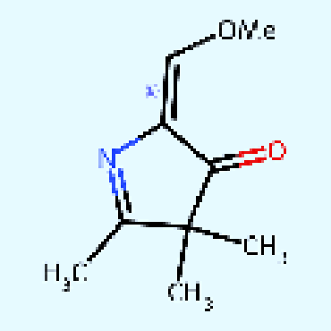 CO/C=C1/N=C(C)C(C)(C)C1=O